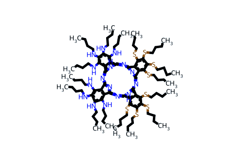 CCCCNc1c(NCCCC)c(NCCCC)c2c(c1NCCCC)-c1nc-2nc2[nH]c(nc3nc(nc4[nH]c(n1)c1c(NCCCC)c(NCCCC)c(NCCCC)c(NCCCC)c41)-c1c(SCCCC)c(SCCCC)c(SCCCC)c(SCCCC)c1-3)c1c(SCCCC)c(SCCCC)c(SCCCC)c(SCCCC)c21